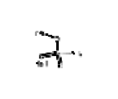 CCCOS(N)(=O)=O.[NaH]